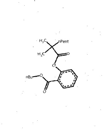 CCCCCC(C)(C)C(=O)Oc1ccccc1C(=O)OCCCC